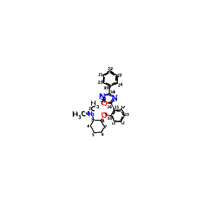 CN(C)C1CCCCC1Oc1ccccc1-c1nc(-c2ccccc2)no1